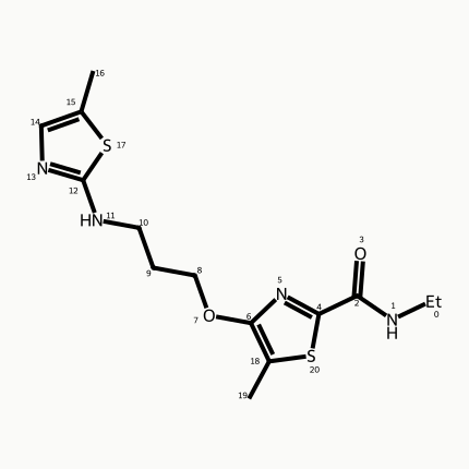 CCNC(=O)c1nc(OCCCNc2ncc(C)s2)c(C)s1